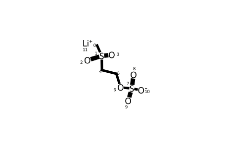 CS(=O)(=O)CCOS(=O)(=O)[O-].[Li+]